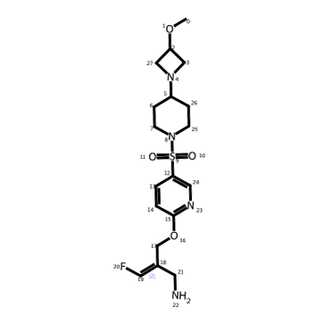 COC1CN(C2CCN(S(=O)(=O)c3ccc(OC/C(=C\F)CN)nc3)CC2)C1